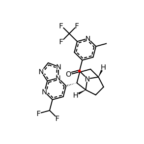 Cc1cc(C(=O)N2[C@H]3CC[C@@H]2[C@H](c2cc(C(F)F)nc4ncnn24)CC3)cc(C(F)(F)F)n1